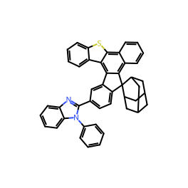 c1ccc(-n2c(-c3ccc4c(c3)-c3c(c5ccccc5c5sc6ccccc6c35)C43C4CC5CC(C4)CC3C5)nc3ccccc32)cc1